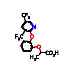 CC(Oc1ccccc1Oc1ncc(C(F)(F)F)cc1C(F)(F)F)C(=O)O